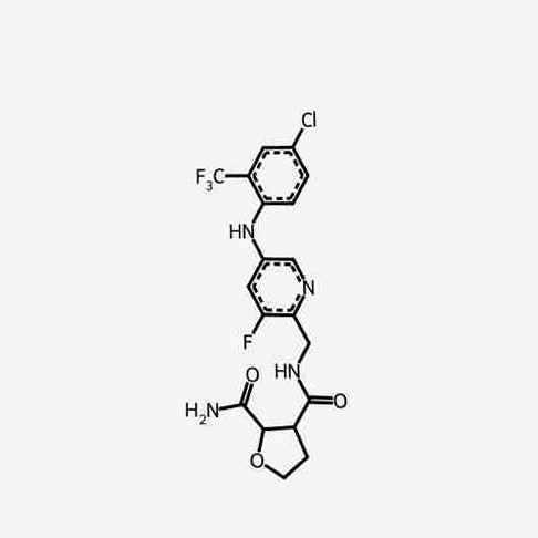 NC(=O)C1OCCC1C(=O)NCc1ncc(Nc2ccc(Cl)cc2C(F)(F)F)cc1F